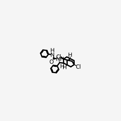 O=C(Nc1ccccc1)N[C@@H](c1ccccc1)[C@H]1[C@H]2C[C@H]3CC1(Cl)C[C@](Cl)(C3)C2